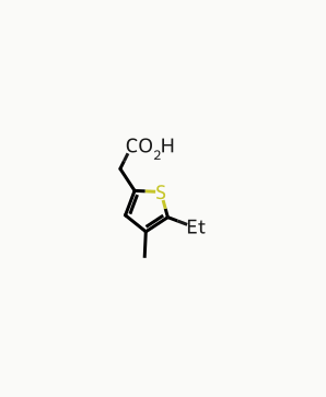 CCc1sc(CC(=O)O)cc1C